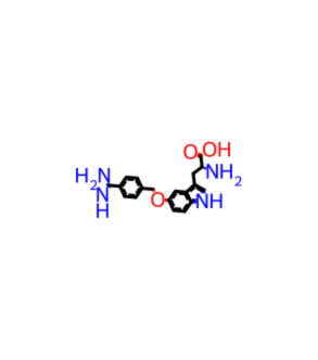 N=C(N)c1ccc(COc2ccc3[nH]cc(C[C@H](N)C(=O)O)c3c2)cc1